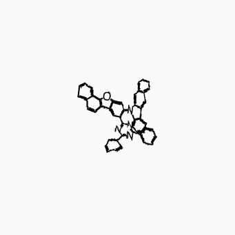 c1ccc(-c2nc(-c3ccccc3)nc(-c3cc4c(cc3-n3c5ccccc5c5cc6ccccc6cc53)oc3c5ccccc5ccc43)n2)cc1